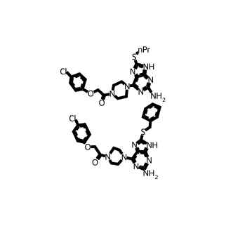 CCCSc1nc2c(N3CCN(C(=O)COc4ccc(Cl)cc4)CC3)nc(N)nc2[nH]1.Nc1nc(N2CCN(C(=O)COc3ccc(Cl)cc3)CC2)c2nc(SCc3ccccc3)[nH]c2n1